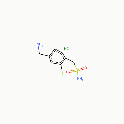 Cl.NCc1ccc(CS(N)(=O)=O)c(F)c1